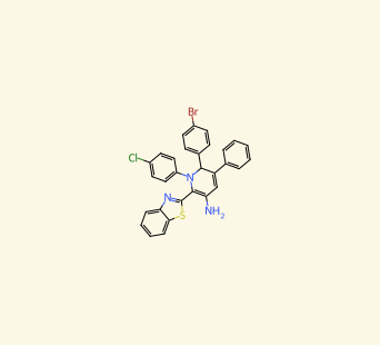 NC1=C(c2nc3ccccc3s2)N(c2ccc(Cl)cc2)C(c2ccc(Br)cc2)C(c2ccccc2)=C1